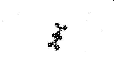 c1ccc(-c2cc(-c3ccccn3)nc(-c3ccc(C(c4ccccc4)(c4ccccc4)c4ccc(-c5nc(-c6ccccc6)nc(-c6ccccn6)n5)cc4)cc3)n2)cc1